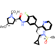 CO[C@@H]1C[C@H](C(=O)Nc2cc([C@H](C[C@H](N[S@@+]([O-])C(C)(C)C)C3CC3)c3ccccn3)ccc2F)N(C(=O)O)C1